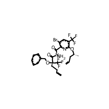 C=CCC[C@@](OCc1ccccc1)(C(=O)N(N)C(=O)c1nc(O[C@H](C)CC=C)c(C(F)(F)F)cc1Br)C(F)(F)F